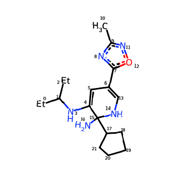 CCC(CC)NC1=CC(c2nc(C)no2)=CNC1(N)C1CCCC1